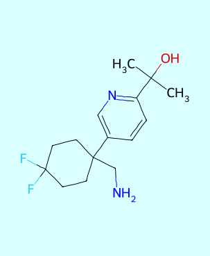 CC(C)(O)c1ccc(C2(CN)CCC(F)(F)CC2)cn1